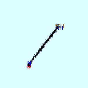 O=C=NCCCCCCCCCCCCCCCCCCCCCCCCCCCCCCCCCCNC(=S)S